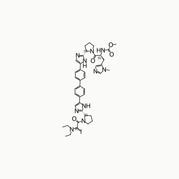 CCN(CC)[C@H](I)C(=O)N1CCC[C@H]1c1ncc(-c2ccc(-c3ccc(-c4cnc([C@@H]5CCCN5C(=O)[C@H](Cc5cncn5C)NC(=O)OC)[nH]4)cc3)cc2)[nH]1